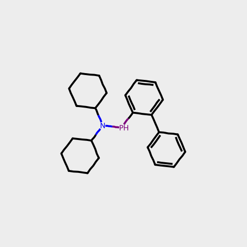 c1ccc(-c2ccccc2PN(C2CCCCC2)C2CCCCC2)cc1